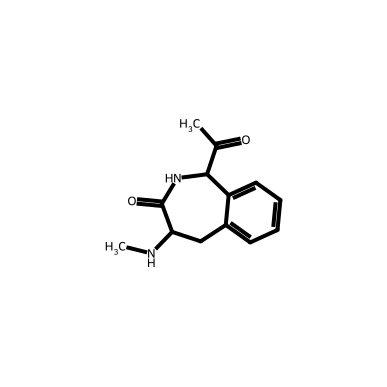 CNC1Cc2ccccc2C(C(C)=O)NC1=O